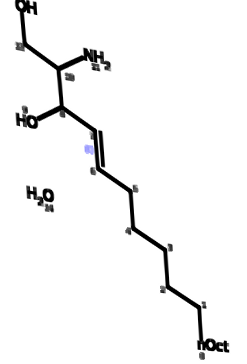 CCCCCCCCCCCCC/C=C/C(O)C(N)CO.O